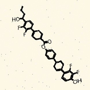 CCCC(O)c1ccc(C2=CCC(C(=O)Oc3ccc(C4CC=C(c5ccc(O)c(F)c5F)CC4)cc3)CC2)c(F)c1F